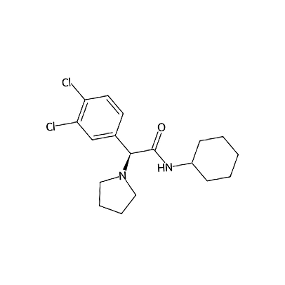 O=C(NC1CCCCC1)[C@H](c1ccc(Cl)c(Cl)c1)N1CCCC1